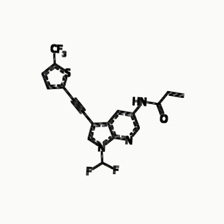 C=CC(=O)Nc1cnc2c(c1)c(C#Cc1ccc(C(F)(F)F)s1)cn2C(F)F